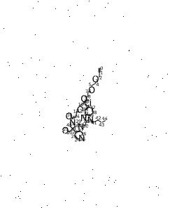 C#CCOCCOCCOCCOCCC(=O)N1CC(C=O)(c2ccncc2N(C)Cc2nc3cc(Cl)ccc3n2CCCC)C1